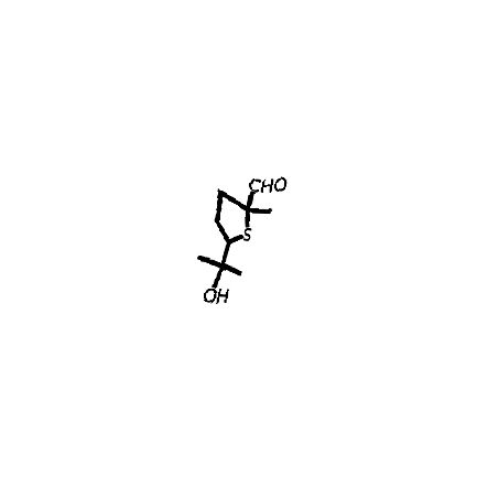 CC1(C=O)CCC(C(C)(C)O)S1